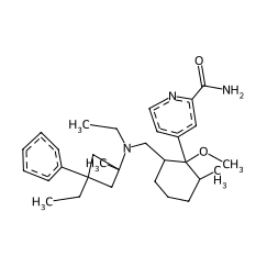 CCN(CC1CCCC(C)C1(OC)c1ccnc(C(N)=O)c1)C1(C)CC(CC)(c2ccccc2)C1